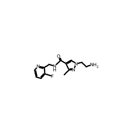 Cc1nn(CCN)cc1C(=O)NCc1ncccc1F